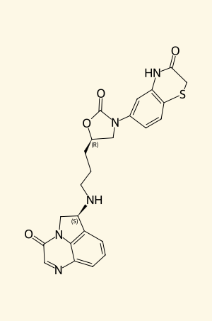 O=C1CSc2ccc(N3C[C@@H](CCCN[C@@H]4Cn5c(=O)cnc6cccc4c65)OC3=O)cc2N1